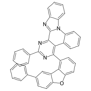 c1ccc(-c2ccc3oc4cccc(-c5nc(-c6ccccc6)nc6c5c5ccccc5n5c7ccccc7nc65)c4c3c2)cc1